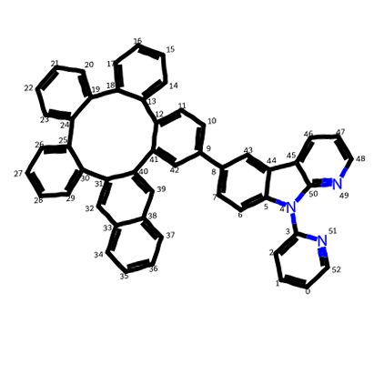 c1ccc(-n2c3ccc(-c4ccc5c6ccccc6c6ccccc6c6ccccc6c6cc7ccccc7cc6c5c4)cc3c3cccnc32)nc1